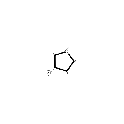 C1CCOC1.[Zr]